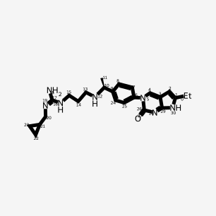 CCc1cc2cn(-c3ccc([C@H](C)NCCCN/C(N)=N\CC4CC4)cc3)c(=O)nc2[nH]1